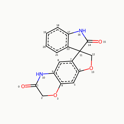 O=C1COc2cc3c(cc2N1)C1(CO3)C(=O)Nc2ccccc21